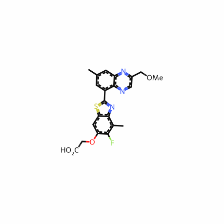 COCc1cnc2c(-c3nc4c(C)c(F)c(OCC(=O)O)cc4s3)cc(C)cc2n1